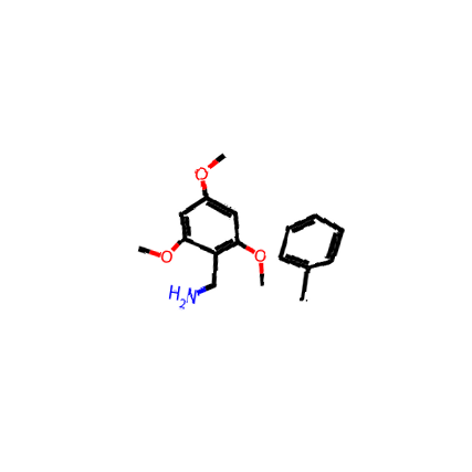 COc1cc(OC)c(CN)c(OC)c1.[CH2]c1ccccc1